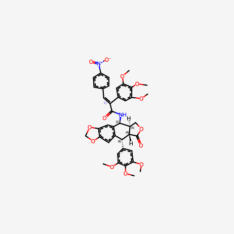 COc1cc(/C(=C\c2ccc([N+](=O)[O-])cc2)C(=O)N[C@@H]2c3cc4c(cc3[C@@H](c3cc(OC)c(OC)c(OC)c3)[C@H]3C(=O)OC[C@@H]32)OCO4)cc(OC)c1OC